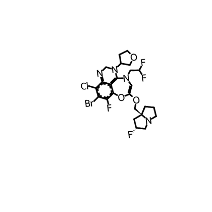 Fc1c(Br)c(Cl)c2c3c1OC(OC[C@@]14CCCN1C[C@H](F)C4)=CN(CC(F)F)C=3N(C1CCOC1)CN=2